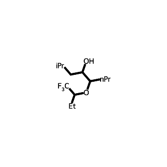 CCCC(OC(CC)C(F)(F)F)C(O)CC(C)C